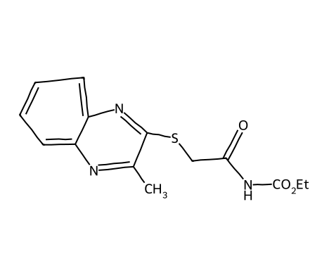 CCOC(=O)NC(=O)CSc1nc2ccccc2nc1C